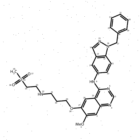 COc1cc2ncnc(Nc3ccc4c(cnn4Cc4ccccc4)c3)c2cc1OCCCNCCS(C)(=O)=O